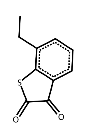 CCc1cccc2c1SC(=O)C2=O